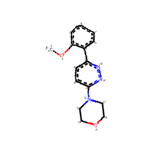 FC(F)(F)Oc1ccccc1-c1ccc(N2CCOCC2)nn1